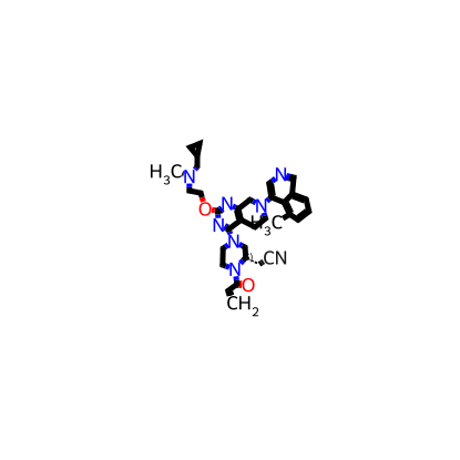 C=CC(=O)N1CCN(c2nc(OCCN(C)CC3CC3)nc3c2CCN(c2cncc4cccc(C)c24)C3)C[C@@H]1CC#N